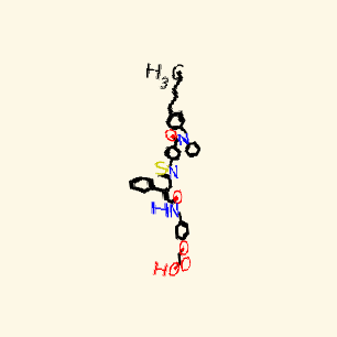 CCCCCc1ccc(CN(C(=O)c2ccc(-c3nc(C/C(=C\C(=O)NCc4ccc(OCC(=O)O)cc4)c4ccccc4)cs3)cc2)c2ccccc2)cc1